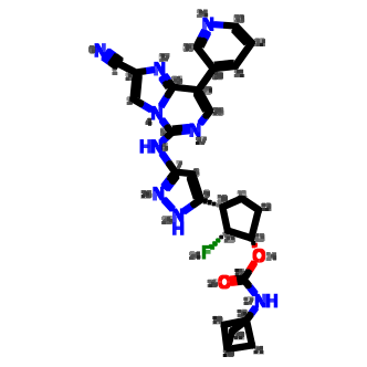 N#Cc1cn2c(Nc3cc([C@@H]4CC[C@H](OC(=O)NC56CC(C5)C6)[C@@H]4F)[nH]n3)ncc(-c3cccnc3)c2n1